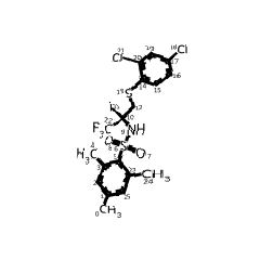 Cc1cc(C)c(S(=O)(=O)NC(I)(CSc2ccc(Cl)cc2Cl)C(F)(F)F)c(C)c1